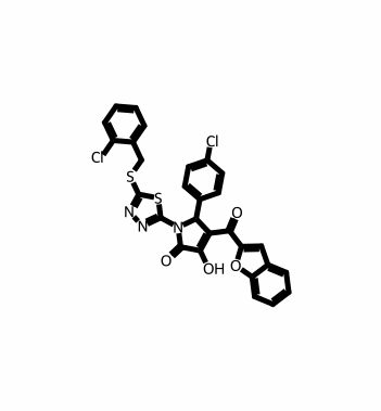 O=C(C1=C(O)C(=O)N(c2nnc(SCc3ccccc3Cl)s2)C1c1ccc(Cl)cc1)c1cc2ccccc2o1